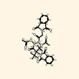 CC(=O)ON(C(=O)CN1C(=O)c2ccccc2C1=O)N(OC(C)=O)C(=O)C(N1C(=O)c2ccccc2C1=O)(C(C)(C)C)C(C)(C)C